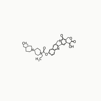 CCC1CCN(C2CC[N+](CC)(C(=O)Oc3ccc4nc5c(cc4c3)Cn3c-5cc4c(c3=O)COC(=O)[C@H]4O)CC2)CC1